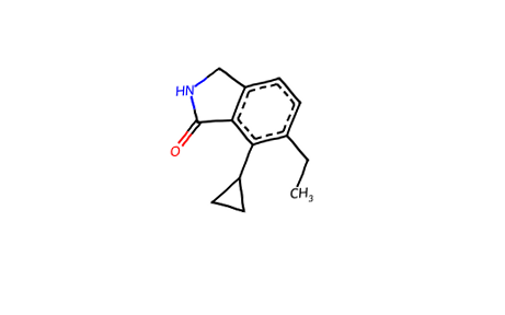 CCc1ccc2c(c1C1CC1)C(=O)NC2